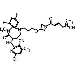 Cc1cc(C(F)(F)F)c(C#N)c(NC2CCN(CCCOC3CN(C(=O)C=CCN(C)C)C3)c3cc(F)cc(F)c3N(C)C2=O)n1